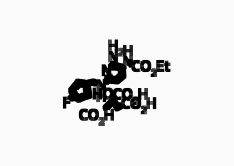 CCOC(=O)Nc1ccc(NCc2ccc(F)cc2)nc1N.O=C(O)CC(O)(CC(=O)O)C(=O)O